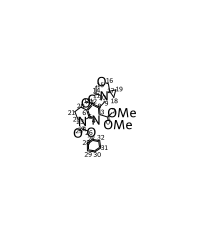 COC(OC)c1nc2c(cc1CN1C(=C=O)COCC13CC3)CCCN2C(=O)Oc1ccccc1